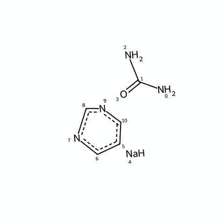 NC(N)=O.[NaH].c1cncnc1